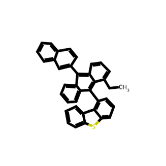 CCc1cccc2c(-c3ccc4ccccc4c3)c3ccccc3c(-c3cccc4sc5ccccc5c34)c12